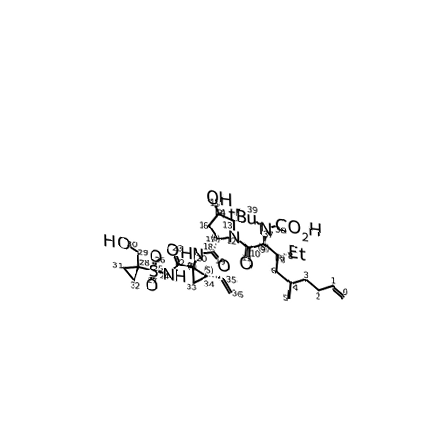 C=CCCC(C)C[C@@H](CC)[C@@H](C(=O)N1C[C@H](O)C[C@H]1C(=O)N[C@]1(C(=O)NS(=O)(=O)C2(CO)CC2)C[C@H]1C=C)N(C(=O)O)C(C)(C)C